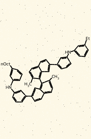 CCCCCCCCc1cccc(Nc2cccc(-c3ccc4ccc(C)c(-c5c(C)ccc6ccc(-c7cccc(Nc8cccc(CC)c8)c7)cc56)c4c3)c2)c1